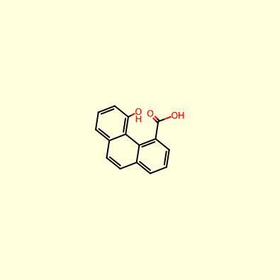 O=C(O)c1cccc2ccc3cccc(O)c3c12